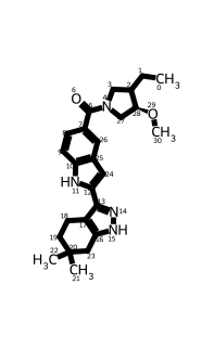 CCC1CN(C(=O)c2ccc3[nH]c(-c4n[nH]c5c4CCC(C)(C)C5)cc3c2)C[C@@H]1OC